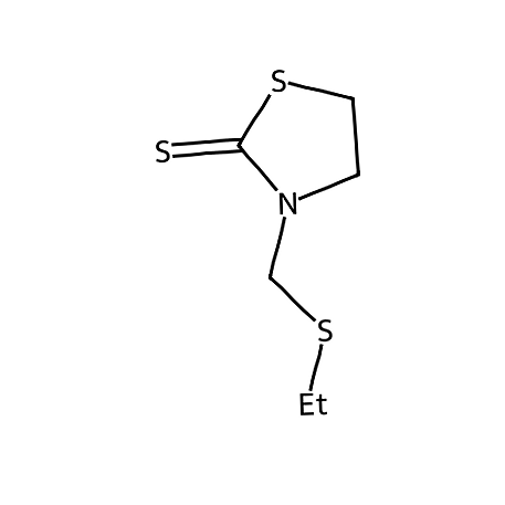 CCSCN1CCSC1=S